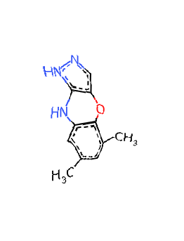 Cc1cc(C)c2c(c1)Nc1[nH]ncc1O2